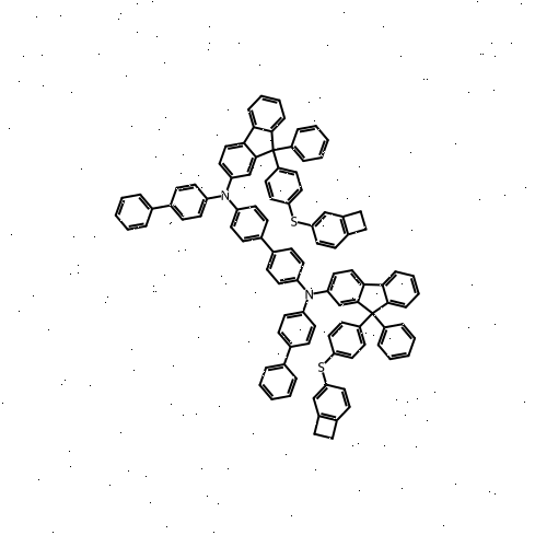 c1ccc(-c2ccc(N(c3ccc(-c4ccc(N(c5ccc(-c6ccccc6)cc5)c5ccc6c(c5)C(c5ccccc5)(c5ccc(Sc7ccc8c(c7)CC8)cc5)c5ccccc5-6)cc4)cc3)c3ccc4c(c3)C(c3ccccc3)(c3ccc(Sc5ccc6c(c5)CC6)cc3)c3ccccc3-4)cc2)cc1